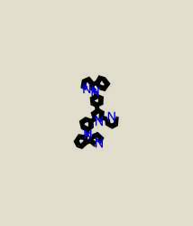 c1ccc(-c2cc(-c3ccc(-n4c5ccccc5c5cccnc54)cc3)cc(-c3cccc(-n4c5ccccc5c5cnccc54)c3)n2)nc1